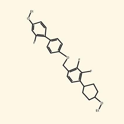 CCOc1ccc(-c2ccc(OCc3ccc(C4CCC(OCC)CC4)c(F)c3F)cc2)c(F)c1